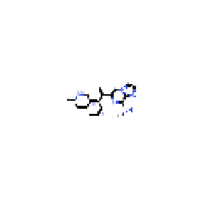 C=C\N=C/C(/C=C\C)=C(/C=C\C)C(=C)c1cn2ccnc2c(NCCC)n1